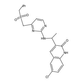 CC(C)CS(=O)(=O)Cc1ccnc(NC(C)c2cc3cc(Cl)ccc3[nH]c2=O)n1